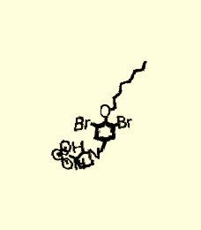 CCCCCCCCOc1c(Br)cc(CN2CCC(P(=O)(O)O)C2)cc1Br